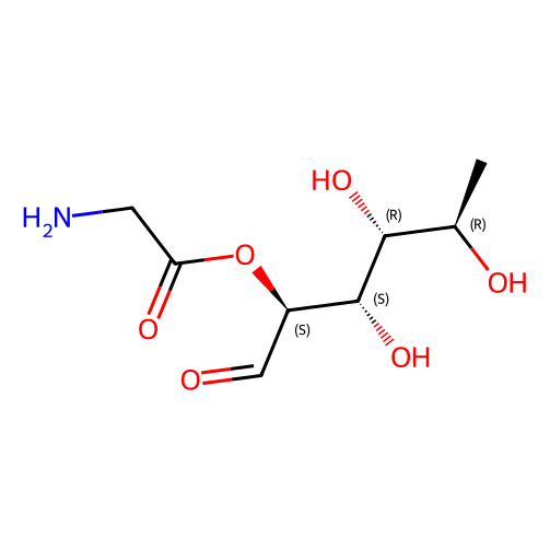 C[C@@H](O)[C@@H](O)[C@H](O)[C@@H](C=O)OC(=O)CN